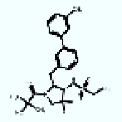 CCS(=O)(=O)N[C@@H]1[C@H](Cc2cccc(-c3cccc(C)c3)c2)N(C(=O)C(C)(C)O)CC1(F)F